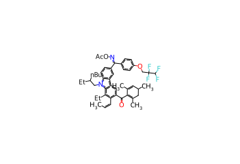 C/C=C\c1c(C(=O)C2=C(C)CC(C)C=C2C)cc2c3cc(/C(=N\OC(C)=O)c4ccc(OCC(F)(F)C(F)F)cc4)ccc3n(CC(CC)CCCC)c2c1CC